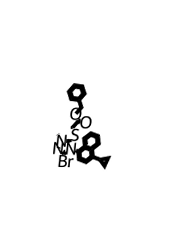 CN1N=C(Br)N(c2ccc(C3CC3)c3ccccc23)[C@@H]1SCC(=O)OCc1ccccc1